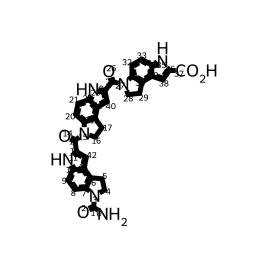 NC(=O)N1CCc2c1ccc1[nH]c(C(=O)N3CCc4c3ccc3[nH]c(C(=O)N5CCc6c5ccc5[nH]c(C(=O)O)cc65)cc43)cc21